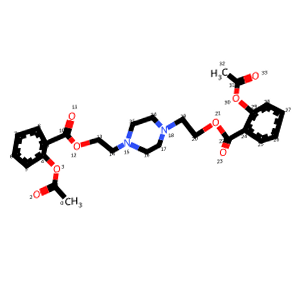 CC(=O)Oc1ccccc1C(=O)OCCN1CCN(CCOC(=O)c2ccccc2OC(C)=O)CC1